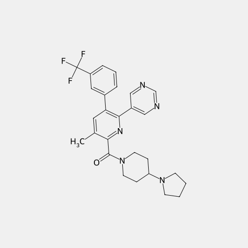 Cc1cc(-c2cccc(C(F)(F)F)c2)c(-c2cncnc2)nc1C(=O)N1CCC(N2CCCC2)CC1